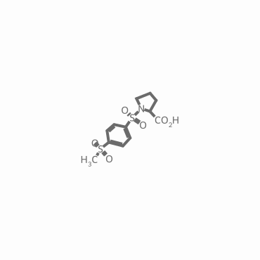 CS(=O)(=O)c1ccc(S(=O)(=O)N2CCCC2C(=O)O)cc1